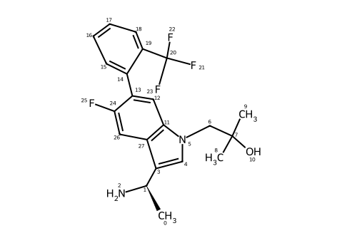 C[C@@H](N)c1cn(CC(C)(C)O)c2cc(-c3ccccc3C(F)(F)F)c(F)cc12